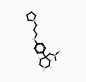 CCN(C)CC1(c2ccc(SCCCN3CCCC3)cc2)CCOCC1